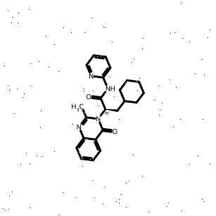 Cc1nc2ccccc2c(=O)n1[C@H](CC1CCCCC1)C(=O)Nc1ccccn1